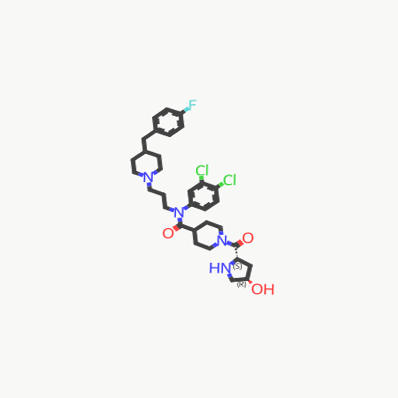 O=C([C@@H]1C[C@@H](O)CN1)N1CCC(C(=O)N(CCCN2CCC(Cc3ccc(F)cc3)CC2)c2ccc(Cl)c(Cl)c2)CC1